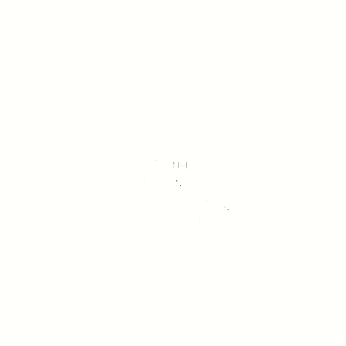 CC(C)(C)OC(=O)NNC1CCCNC1=O